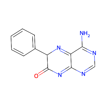 Nc1ncnc2c1=NC(c1ccccc1)C(=O)N=2